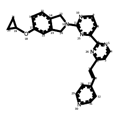 C(=C\c1ccnc(-c2ccnc(N3Cc4ccc(OC5CC5)cc4C3)n2)n1)/c1ccncc1